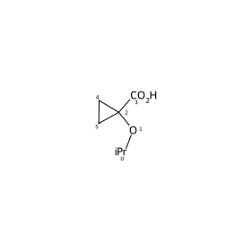 CC(C)OC1(C(=O)O)CC1